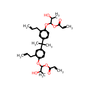 C=CCc1cc(C(C)(C)c2ccc(OC(OC(=O)C=C)C(C)O)c(CC=C)c2)ccc1OC(OC(=O)C=C)C(C)O